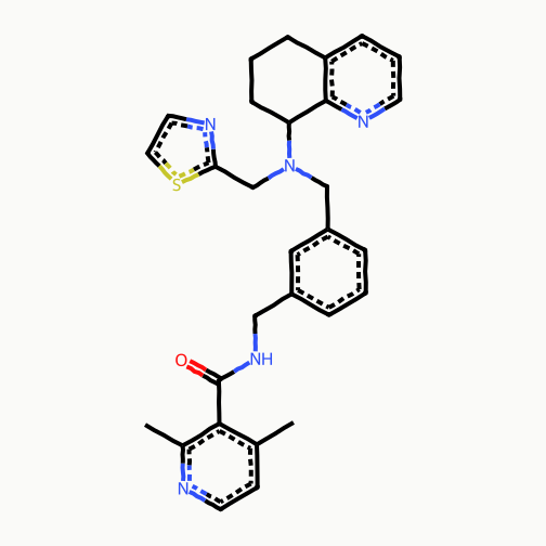 Cc1ccnc(C)c1C(=O)NCc1cccc(CN(Cc2nccs2)C2CCCc3cccnc32)c1